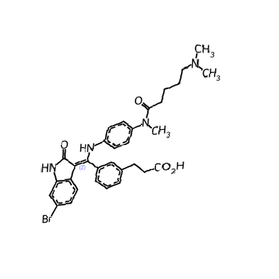 CN(C)CCCCC(=O)N(C)c1ccc(N/C(=C2\C(=O)Nc3cc(Br)ccc32)c2cccc(CCC(=O)O)c2)cc1